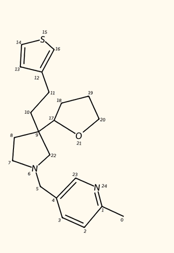 Cc1ccc(CN2CCC(CCc3ccsc3)(C3CCCO3)C2)cn1